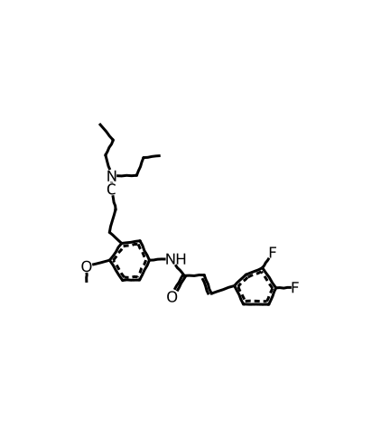 CCCN(CCC)CCCc1cc(NC(=O)C=Cc2ccc(F)c(F)c2)ccc1OC